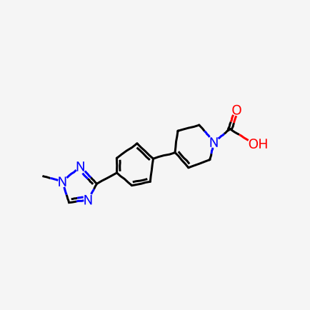 Cn1cnc(-c2ccc(C3=CCN(C(=O)O)CC3)cc2)n1